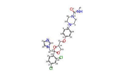 CNC(=O)N1CCN(c2ccc(OCC3COC(Cn4ccnc4)(c4ccc(Cl)cc4Cl)O3)cc2)CC1